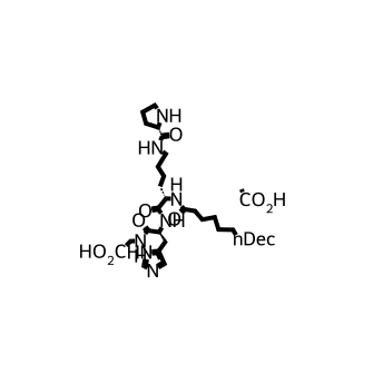 CC(=O)O.CCCCCCCCCCCCCCCC(=O)N[C@@H](CCCCNC(=O)[C@@H]1CCCN1)C(=O)N[C@@H](Cc1cnc[nH]1)C(=O)NCC(=O)O